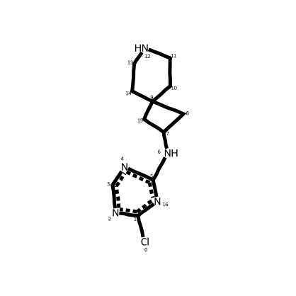 Clc1ncnc(NC2CC3(CCNCC3)C2)n1